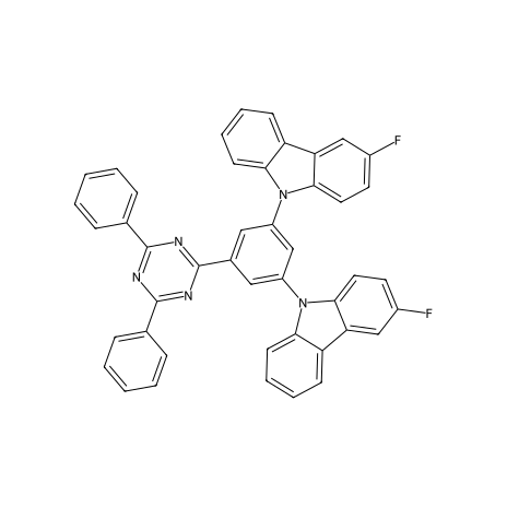 Fc1ccc2c(c1)c1ccccc1n2-c1cc(-c2nc(-c3ccccc3)nc(-c3ccccc3)n2)cc(-n2c3ccccc3c3cc(F)ccc32)c1